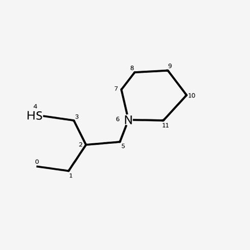 CCC(CS)CN1CCCCC1